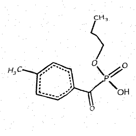 CCCOP(=O)(O)C(=O)c1ccc(C)cc1